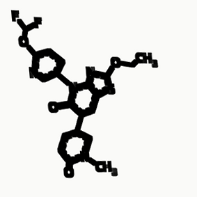 CCOc1nc2c(cc(-c3ccc(=O)n(C)c3)c(=O)n2-c2ccc(OC(F)F)nc2)s1